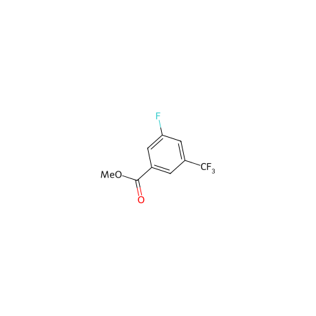 COC(=O)c1cc(F)cc(C(F)(F)F)c1